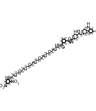 Cc1ccc2c(c1)NC[C@]21CCN(C[C@@H](O)C2CCN(c3ncc(-c4cccc(C(=O)NCCOCCOCCOCCOCCOCCOCCOCCOCCOCCNc5ccc([N+](=O)[O-])cc5[N+](=O)[O-])c4)o3)CC2)C[C@H]1C